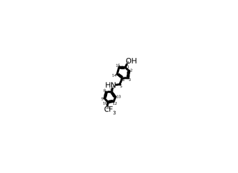 Oc1ccc(CNc2ccc(C(F)(F)F)cc2)cc1